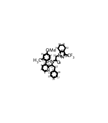 COc1ccc(-c2cccnc2C(Cc2ccccc2)NC(=O)Cn2nc(C(F)(F)F)c3c2CCCC3)c(C)c1